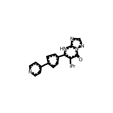 CC(C)c1c(-c2ccc(-c3ccncc3)cc2)[nH]c2ncnn2c1=O